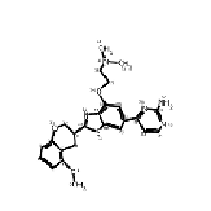 COc1cccc2c1CC(c1nc3c(OCCN(C)C)cc(-c4ccnc(N)n4)cc3s1)CO2